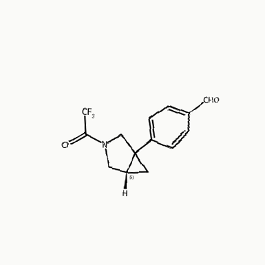 O=Cc1ccc(C23C[C@@H]2CN(C(=O)C(F)(F)F)C3)cc1